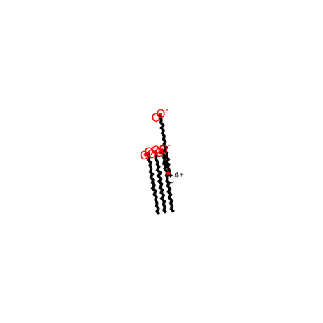 CCCCCCCCCCCCCCCCCCCCCC(=O)[O-].CCCCCCCCCCCCCCCCCCCCCC(=O)[O-].CCCCCCCCCCCCCCCCCCCCCC(=O)[O-].CCCCCCCCCCCCCCCCCCCCCC(=O)[O-].[C+4]